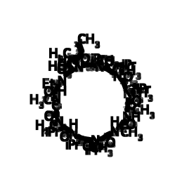 C/C=C/C[C@@H](C)[C@@H](O)[C@H]1C(=O)N[C@@H](CC)C(=O)N(C)CC(=O)N(C)C(CCC)C(=O)N[C@@H](C(C)C)C(=O)N(C)[C@@H](CC(C)C)C(=O)N[C@@H](C)C(=O)N[C@H](C)C(=O)N(C)[C@@H](CC(C)C)C(=O)N(C)[C@H](CC(C)C)C(=O)N(C)[C@@H](C(C)C)C(=O)N1C